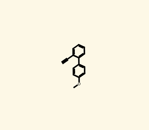 C#Cc1ccccc1-c1ccc(OC)cc1